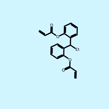 C=CC(=O)Oc1ccccc1C(CC)c1ccccc1OC(=O)C=C